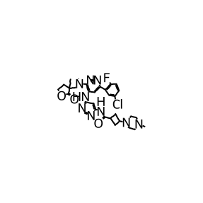 CN1CCN(C2CC(C(=O)Nc3cc(Nc4cc(-c5cc(Cl)ccc5F)nnc4N(C)CC4(C)CCOC4=O)ncn3)C2)CC1